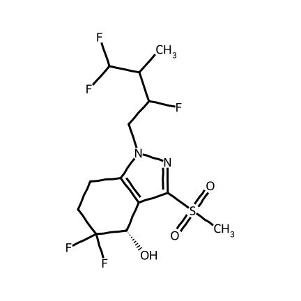 CC(C(F)F)C(F)Cn1nc(S(C)(=O)=O)c2c1CCC(F)(F)[C@H]2O